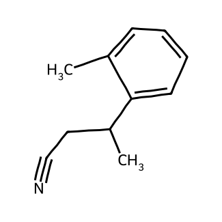 Cc1ccccc1C(C)CC#N